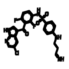 N=CCCNc1ccc(S(=O)(=O)Nc2ccc(F)c(C(=O)c3c[nH]c4ncc(Cl)cc34)c2F)cc1